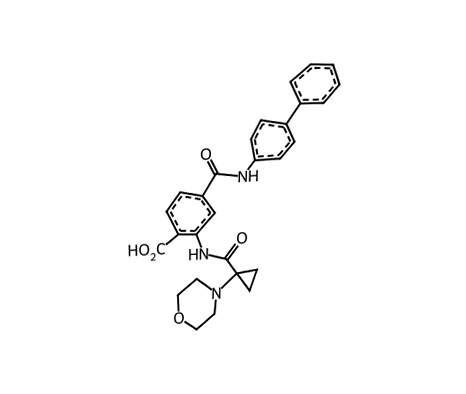 O=C(Nc1ccc(-c2ccccc2)cc1)c1ccc(C(=O)O)c(NC(=O)C2(N3CCOCC3)CC2)c1